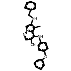 Cc1c(NCc2ccccc2)cn2ncc(C#N)c(Nc3ccc(Oc4ccccc4)cc3)c12